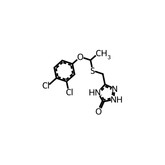 CC(Oc1ccc(Cl)c(Cl)c1)SCc1n[nH]c(=O)[nH]1